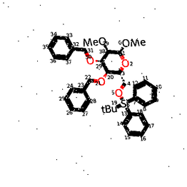 CO[C@H]1O[C@H](CO[Si](c2ccccc2)(c2ccccc2)C(C)(C)C)[C@@H](OCc2ccccc2)[C@H](OCc2ccccc2)[C@H]1OC